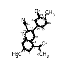 CC(=O)c1cc(C)cc2nc(C#N)c(-c3ccn(C)c(=O)c3)cc12